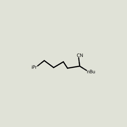 CCCCC(C#N)CCCCC(C)C